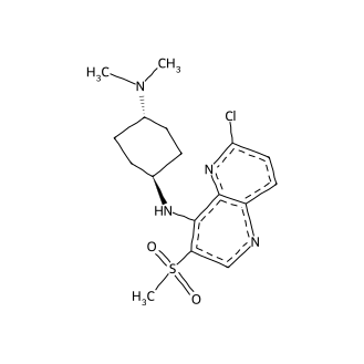 CN(C)[C@H]1CC[C@H](Nc2c(S(C)(=O)=O)cnc3ccc(Cl)nc23)CC1